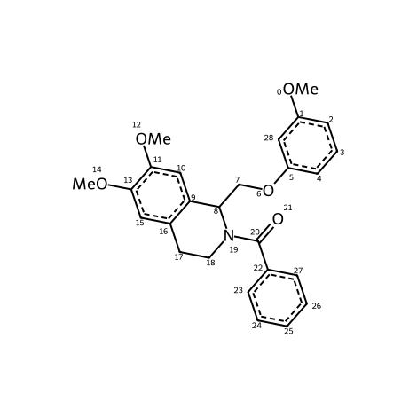 COc1cccc(OCC2c3cc(OC)c(OC)cc3CCN2C(=O)c2ccccc2)c1